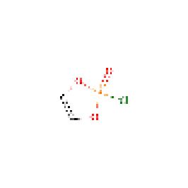 O=P1(Cl)OC=CO1